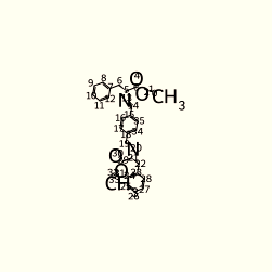 CCOC(=O)[C@H](Cc1ccccc1)/N=C/c1ccc(/C=N/[C@@H](Cc2ccccc2)C(=O)OCC)cc1